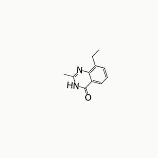 CCc1cccc2c(=O)[nH]c(C)nc12